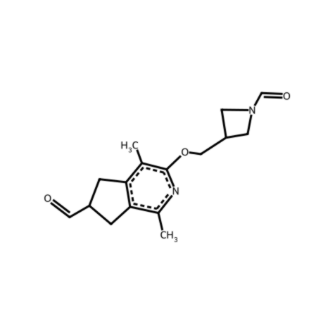 Cc1nc(OCC2CN(C=O)C2)c(C)c2c1CC(C=O)C2